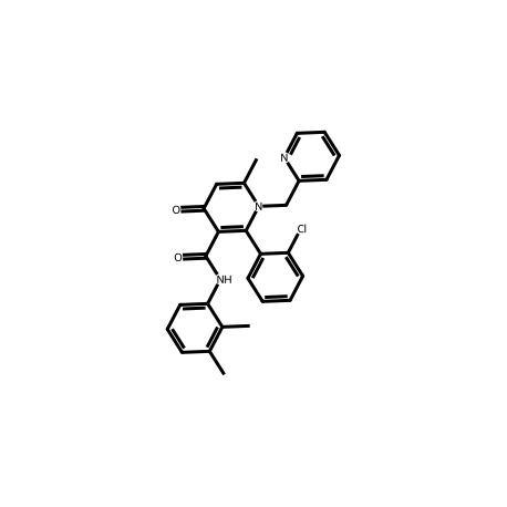 Cc1cccc(NC(=O)c2c(-c3ccccc3Cl)n(Cc3ccccn3)c(C)cc2=O)c1C